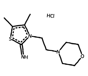 Cc1sc(=N)n(CCN2CCOCC2)c1C.Cl